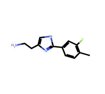 Cc1ccc(C2=NC(CCN)=C[N]2)cc1F